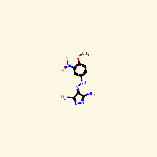 COc1ccc(NN=C2C(N)=NN=C2N)cc1[N+](=O)[O-]